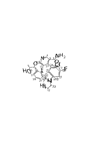 NC(=O)c1cnc(OCCO)c(F)c1-c1c(Cl)c(F)cc2c1CC1(c3ccccc3)CNCCN21